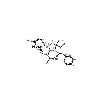 CCC1(CC)O[C@@H](n2ccc(=O)[nH]c2=O)C(OC(C)=O)[C@H]1OCc1ccccc1